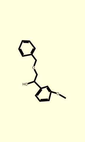 COc1cccc(C(O)COCc2ccccc2)c1